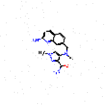 CC(=O)N(Cc1ccc2ccc(N)nc2c1)c1cn(C)nc1C(N)=O